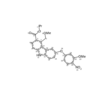 COCc1c(C(=O)OC(C)C)ncc2[nH]c3ccc(Oc4ccc([N+](=O)[O-])c(OC)c4)cc3c12